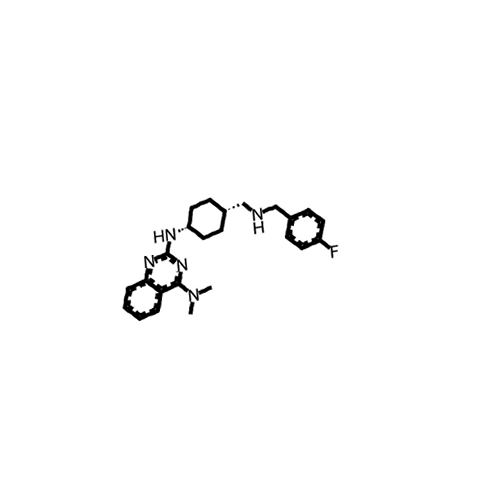 CN(C)c1nc(N[C@H]2CC[C@@H](CNCc3ccc(F)cc3)CC2)nc2ccccc12